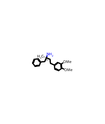 COc1ccc(CC[C@](C)(N)Cc2ccccc2)cc1OC